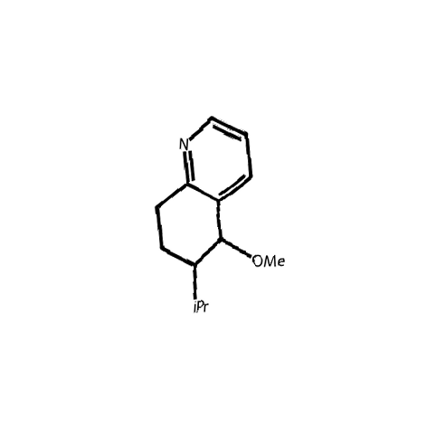 COC1c2cccnc2CCC1C(C)C